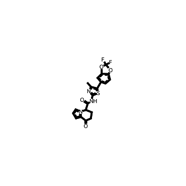 Cc1nc(NC(=O)C2CCC(=O)c3cccn32)sc1-c1ccc2c(c1)OC(F)(F)O2